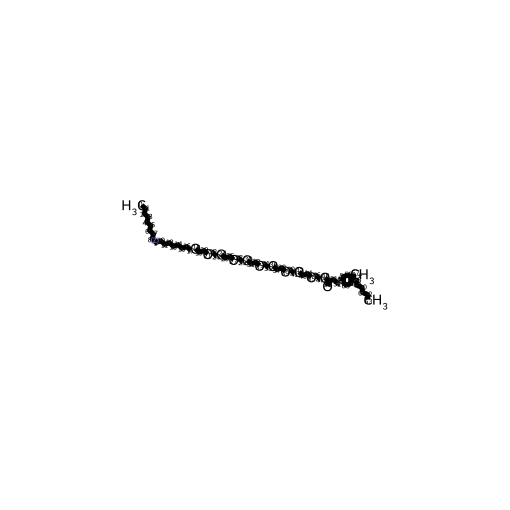 CCCCCCCC/C=C\CCCCCCCCOCCOCCOCCOCCOCCOCCOCCOCCOCCOCCOC(=O)CCN1CC[N+](C)(CCCCCC)CC1